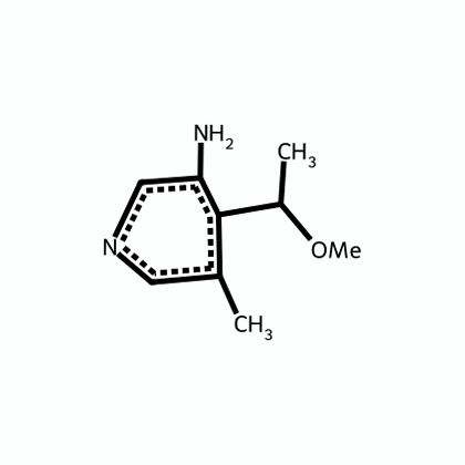 COC(C)c1c(C)cncc1N